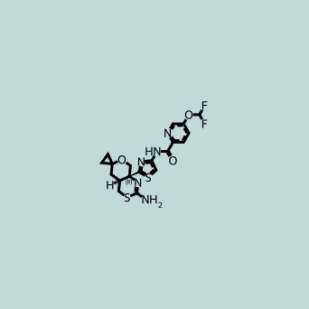 NC1=N[C@@]2(c3nc(NC(=O)c4ccc(OC(F)F)cn4)cs3)COC3(CC3)C[C@H]2CS1